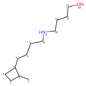 CC1CCC1CCCCNCCCCO